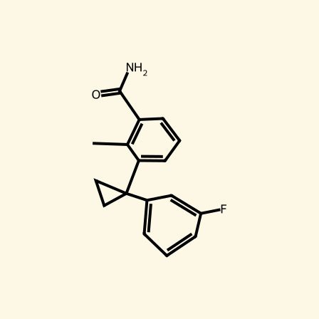 Cc1c(C(N)=O)cccc1C1(c2cccc(F)c2)CC1